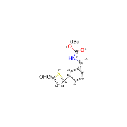 C[C@@H](NC(=O)OC(C)(C)C)c1cccc(-c2ccc(C=O)s2)c1